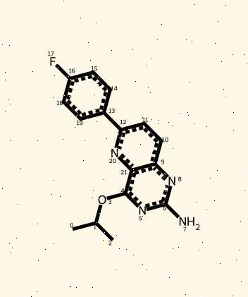 CC(C)Oc1nc(N)nc2ccc(-c3ccc(F)cc3)nc12